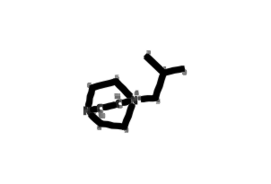 CC(C)C[N+]12CCN(CC1)CC2